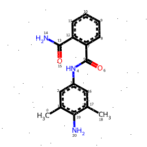 Cc1cc(NC(=O)c2ccccc2C(N)=O)cc(C)c1N